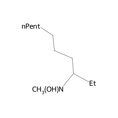 CCCCCCCCC(CC)N(C)O